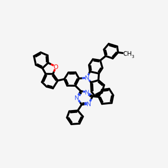 Cc1cccc(-c2ccc3c(c2)c2ccccc2n3-c2ccc(-c3cccc4c3oc3ccccc34)cc2-c2nc(-c3ccccc3)nc(-c3ccccc3)n2)c1